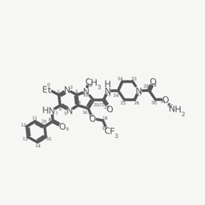 CCc1nc2c(nc1NC(=O)c1ccccc1)c(OCC(F)(F)F)c(C(=O)NC1CCN(C(=O)CON)CC1)n2C